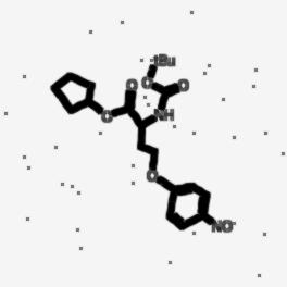 CC(C)(C)OC(=O)NC(CCOc1ccc(N=O)cc1)C(=O)OC1CCCC1